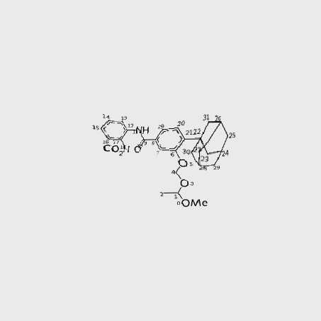 COC(C)OCOc1cc(C(=O)Nc2ccccc2C(=O)O)ccc1C12CC3CC(CC(C3)C1)C2